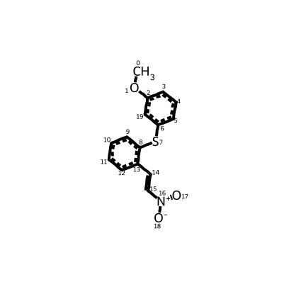 COc1cccc(Sc2ccccc2/C=C/[N+](=O)[O-])c1